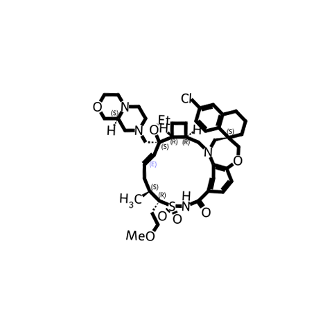 CCO[C@]1(CN2CCN3CCOC[C@@H]3C2)/C=C/C[C@H](C)[C@@H](CCOC)S(=O)(=O)NC(=O)c2ccc3c(c2)N(C[C@@H]2CC[C@H]21)C[C@@]1(CCCc2cc(Cl)ccc21)CO3